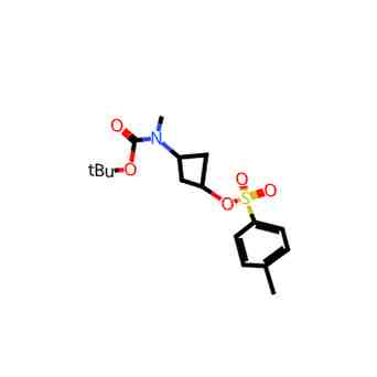 Cc1ccc(S(=O)(=O)OC2CC(N(C)C(=O)OC(C)(C)C)C2)cc1